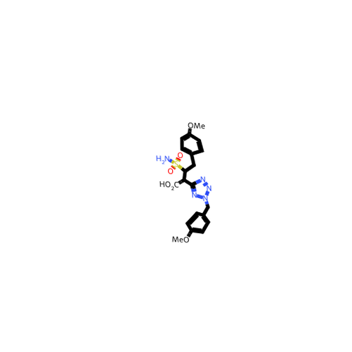 COc1ccc(CC(C(C(=O)O)c2nnn(Cc3ccc(OC)cc3)n2)S(N)(=O)=O)cc1